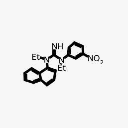 CCN(C(=N)N(CC)c1cccc2ccccc12)c1cccc([N+](=O)[O-])c1